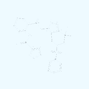 CC1(C)CN(S(=O)(=O)c2cccnc2)Cc2c(NC(=O)c3ccccc3NC(=O)c3ccc[nH]3)n[nH]c21